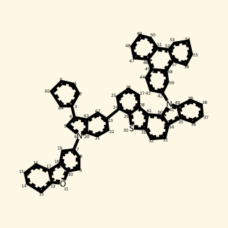 c1ccc(-c2cn(-c3ccc4oc5ccccc5c4c3)c3ccc(-c4cccc5c4sc4ccc6c7ccccc7n(-c7ccc8c9ccccc9c9ccccc9c8c7)c6c45)cc23)cc1